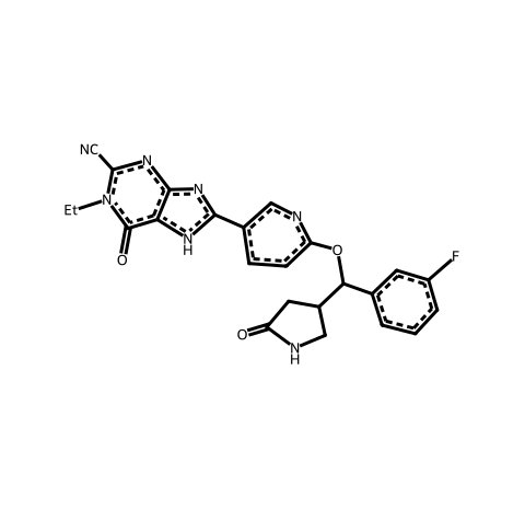 CCn1c(C#N)nc2nc(-c3ccc(OC(c4cccc(F)c4)C4CNC(=O)C4)nc3)[nH]c2c1=O